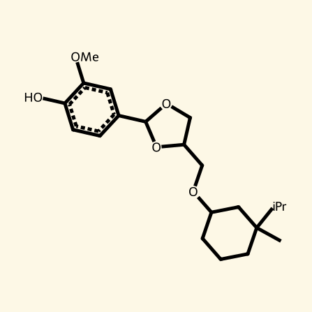 COc1cc(C2OCC(COC3CCCC(C)(C(C)C)C3)O2)ccc1O